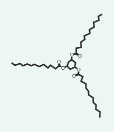 CCCCCCCCCCCCC(=O)OC1CC(OC(=O)CCCCCCCCCCCC)CC(OC(=O)CCCCCCCCCCCC)C1